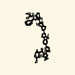 COC(=O)N[C@@H](CN1[C@@H]2CC[C@@H](C2)[C@H]1c1nc2ccc(-c3ccc4c(c3)C(F)(F)c3cc(-c5cnc([C@@H]6CC7(CC7)CN6C(=O)[C@@H](NC(=O)OC)C(C)C)[nH]5)ccc3-4)cc2[nH]1)c1ccccc1